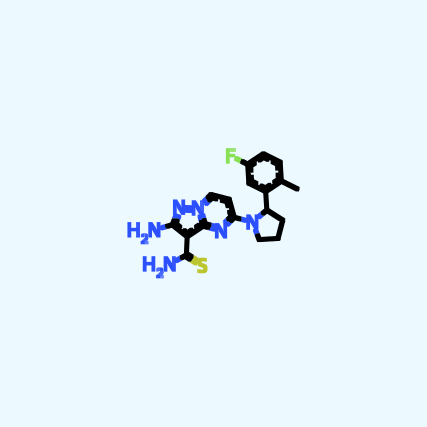 Cc1ccc(F)cc1C1CCCN1c1ccn2nc(N)c(C(N)=S)c2n1